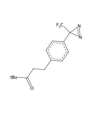 CC(C)(C)C(=O)CCc1ccc(C2(C(F)(F)F)N=N2)cc1